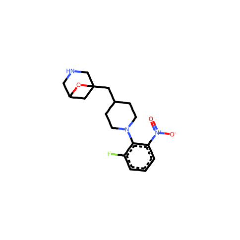 O=[N+]([O-])c1cccc(F)c1N1CCC(CC23CNCC(C2)O3)CC1